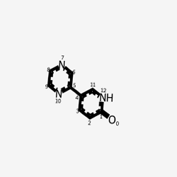 O=c1ccc(-c2cnccn2)c[nH]1